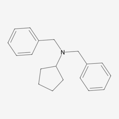 c1ccc(CN(Cc2ccccc2)C2CCCC2)cc1